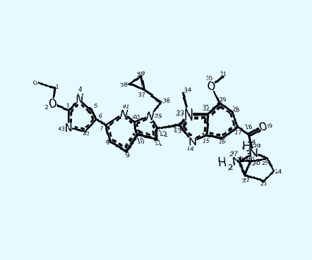 CCOc1ncc(-c2ccc3cc(-c4nc5cc(C(=O)N6CC7CCC6[C@@H]7N)cc(OC)c5n4C)n(CC4CC4)c3n2)cn1